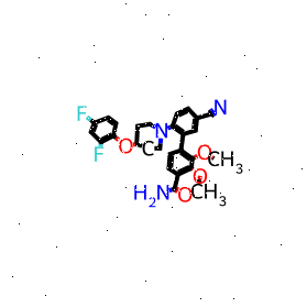 COc1c(C(N)=O)ccc(-c2cc(C#N)ccc2N2CCC(Oc3ccc(F)cc3F)CC2)c1OC